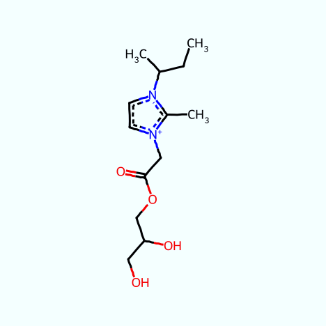 CCC(C)n1cc[n+](CC(=O)OCC(O)CO)c1C